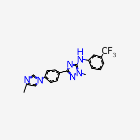 Cc1cn(-c2ccc(-c3nc(Nc4cccc(C(F)(F)F)c4)n(C)n3)cc2)cn1